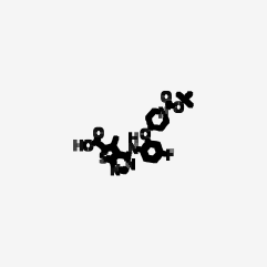 Cc1c(C(=O)O)sc2ncnc(Nc3ccc(F)cc3OC3CCN(C(=O)OC(C)(C)C)CC3)c12